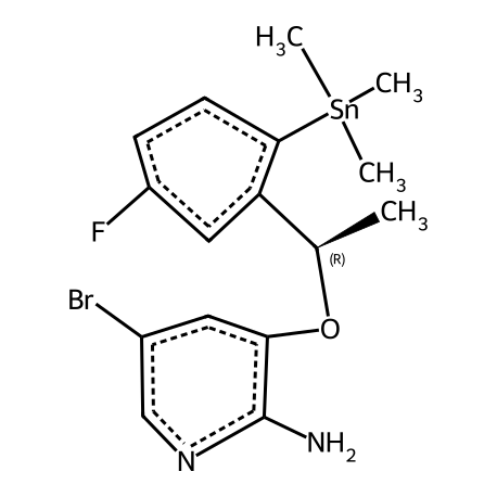 C[C@@H](Oc1cc(Br)cnc1N)c1cc(F)cc[c]1[Sn]([CH3])([CH3])[CH3]